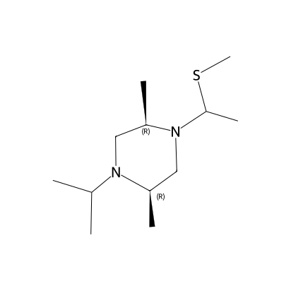 CSC(C)N1C[C@@H](C)N(C(C)C)C[C@H]1C